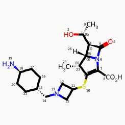 C[C@@H](O)[C@H]1C(=O)N2C(C(=O)O)=C(SC3CN(C[C@H]4CC[C@H](N)CC4)C3)[C@H](C)[C@H]12